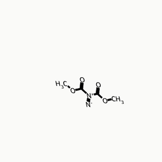 COC(=O)[N+](=[N-])C(=O)OC